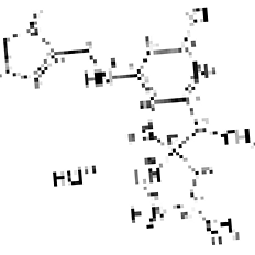 CC1c2nc(Cl)cc(NCc3cccs3)c2SC1(N)C[C@H](C)N.Cl